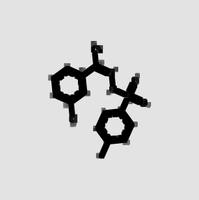 Cc1ccc(S(=O)(=O)ON=C(C#N)c2cccc(Cl)c2)cc1